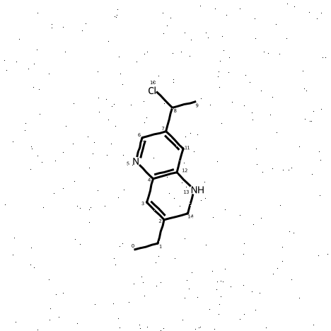 CCC1=Cc2ncc(C(C)Cl)cc2NC1